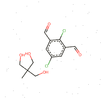 CC(CO)(CO)CO.O=Cc1cc(Cl)cc(C=O)c1Cl